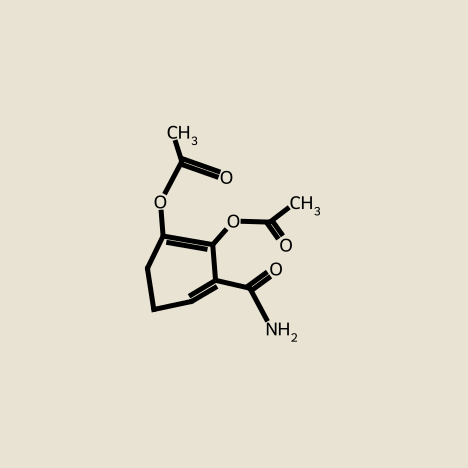 CC(=O)OC1=C(OC(C)=O)C(C(N)=O)=CCC1